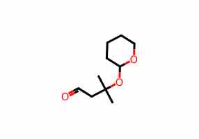 CC(C)(CC=O)OC1CCCCO1